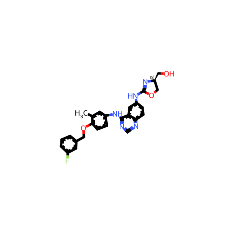 Cc1cc(Nc2ncnc3ccc(NC4=N[C@@H](CO)CO4)cc23)ccc1OCc1cccc(F)c1